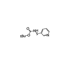 CC(C)(C)OC(=O)NSc1cccnc1